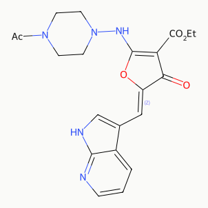 CCOC(=O)C1=C(NN2CCN(C(C)=O)CC2)O/C(=C\c2c[nH]c3ncccc23)C1=O